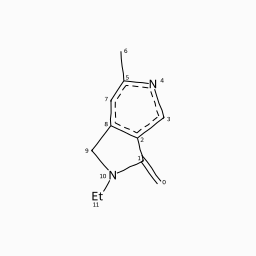 C=C1c2cnc(C)cc2CN1CC